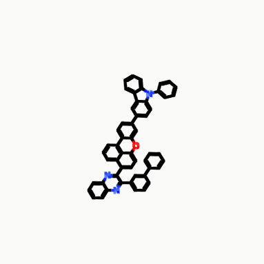 c1ccc(-c2cccc(-c3nc4ccccc4nc3-c3ccc4c5c(cccc35)-c3ccc(-c5ccc6c(c5)c5ccccc5n6-c5ccccc5)cc3O4)c2)cc1